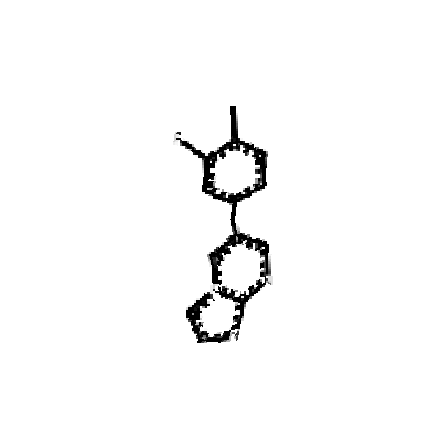 Cc1ccc(-c2cnc3nccn3c2)cc1F